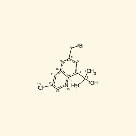 CC(C)(O)c1cc(CBr)cc2cc(Cl)cnc12